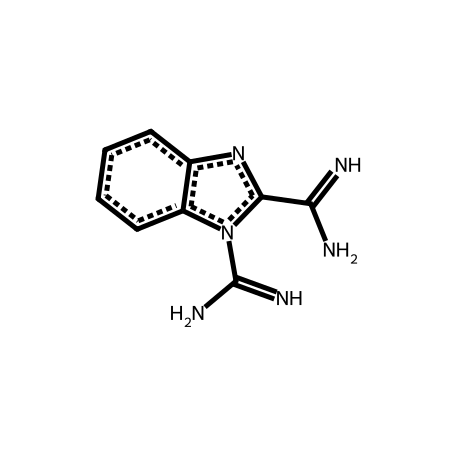 N=C(N)c1nc2ccccc2n1C(=N)N